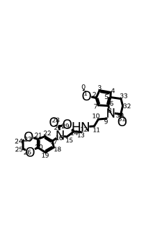 COc1ccc2c(c1)N(CCCNCC1CN(c3ccc4c(c3)OCCO4)C(=O)O1)C(=O)CC2